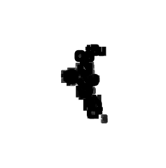 CC(C)(C)OC(=O)N1CC[C@@H](N2Cc3ncc(-c4noc(C(F)(F)F)n4)cc3C2=O)[C@H](c2ccccc2)C1